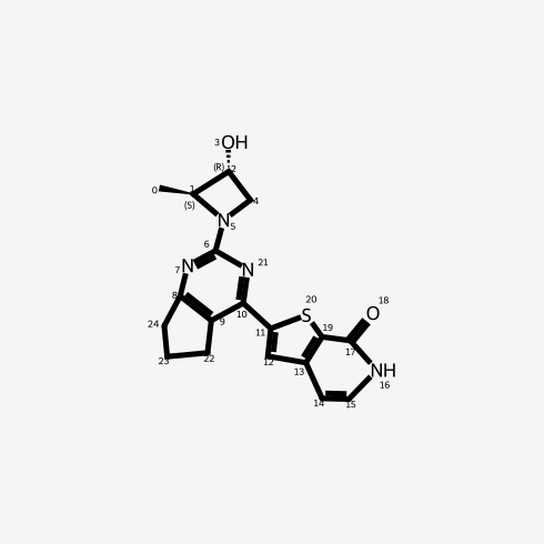 C[C@H]1[C@H](O)CN1c1nc2c(c(-c3cc4cc[nH]c(=O)c4s3)n1)CCC2